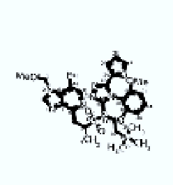 COCn1cnc2c(C[C@H](C)S(=O)(=O)N(CC[Si](C)(C)C)c3nnc(-c4ccco4)n3-c3c(OC)cccc3OC)ncc(F)c21